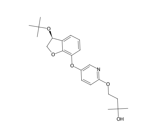 CC(C)(O)CCOc1ccc(Oc2cccc3c2OC[C@H]3OC(C)(C)C)cn1